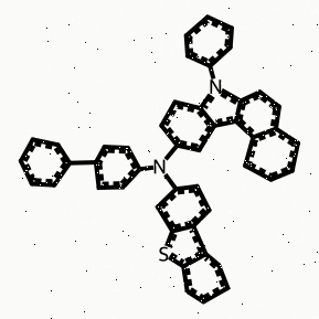 c1ccc(-c2ccc(N(c3ccc4c(c3)sc3ccccc34)c3ccc4c(c3)c3c5ccccc5ccc3n4-c3ccccc3)cc2)cc1